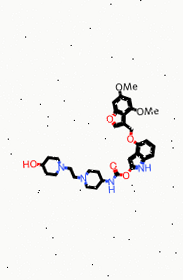 COc1cc(OC)c2c(COc3cccc4[nH]c(OC(=O)NC5CCN(CCN6CCC(O)CC6)CC5)cc34)coc2c1